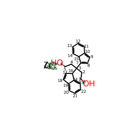 OCCC(CCO)(C1=CC=C2C=CC=CC21)C1C=Cc2ccccc21.[Cl-].[Cl-].[Zr+2]